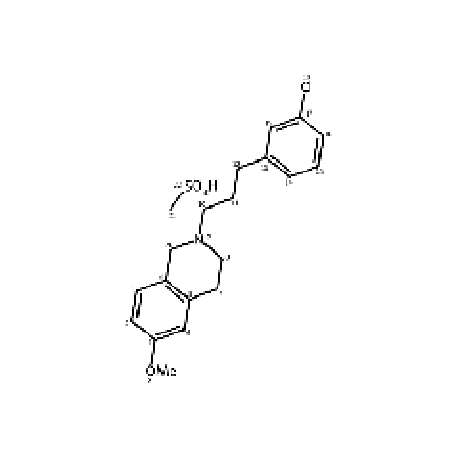 COc1ccc2c(c1)CCN(CCCc1cccc(Cl)c1)C2.CS(=O)(=O)O